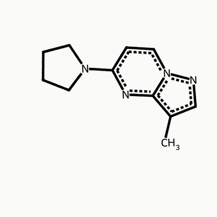 Cc1cnn2ccc(N3CCCC3)nc12